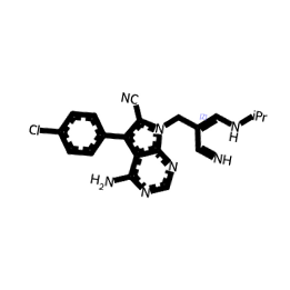 CC(C)N/C=C(\C=N)Cn1c(C#N)c(-c2ccc(Cl)cc2)c2c(N)ncnc21